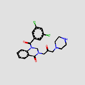 O=C(CN1CCNCC1)CN1CN(C(=O)c2cc(Cl)cc(Cl)c2)c2ccccc2C1=O